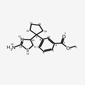 COC(=O)c1cccc(C2(C3CSC(N)=N3)CCCC2)c1